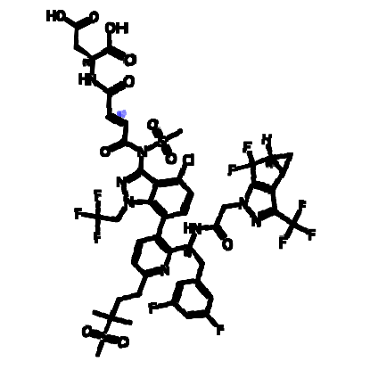 CC(C)(CCc1ccc(-c2ccc(Cl)c3c(N(C(=O)/C=C/C(=O)N[C@@H](CC(=O)O)C(=O)O)S(C)(=O)=O)nn(CC(F)(F)F)c23)c([C@H](Cc2cc(F)cc(F)c2)NC(=O)Cn2nc(C(F)(F)F)c3c2C(F)(F)[C@@H]2CC32)n1)S(C)(=O)=O